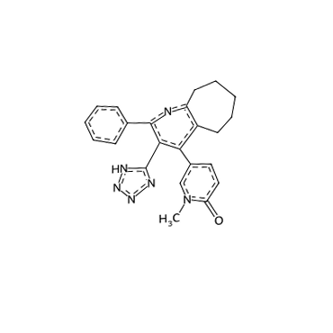 Cn1cc(-c2c3c(nc(-c4ccccc4)c2-c2nnn[nH]2)CCCCC3)ccc1=O